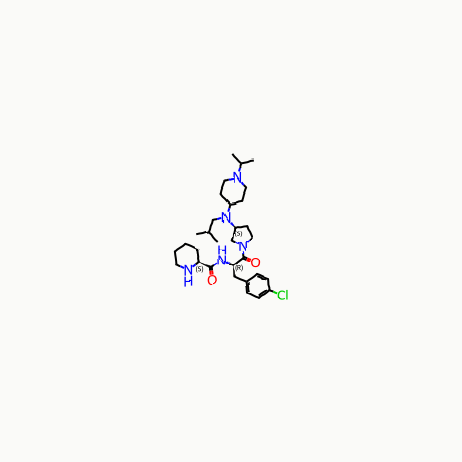 CC(C)CN(C1CCN(C(C)C)CC1)[C@H]1CCN(C(=O)[C@@H](Cc2ccc(Cl)cc2)NC(=O)[C@@H]2CCCCN2)C1